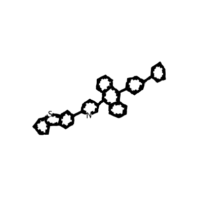 c1ccc(-c2ccc(-c3c4ccccc4c(-c4ccc(-c5ccc6c(c5)sc5ccccc56)nc4)c4ccccc34)cc2)cc1